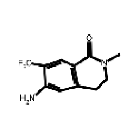 CN1CCc2cc(N)c(C(F)(F)F)cc2C1=O